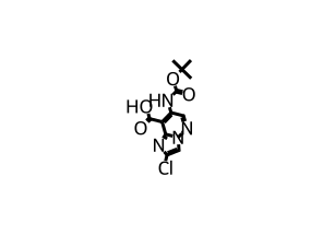 CC(C)(C)OC(=O)Nc1cnn2cc(Cl)nc2c1C(=O)O